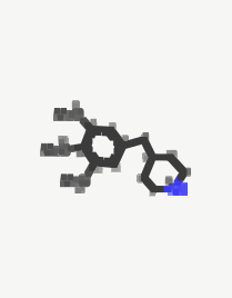 COc1cc(CC2CCNCC2)cc(OC)c1OC